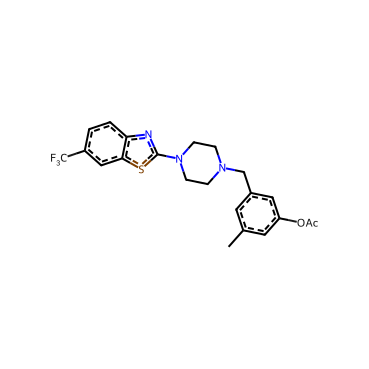 CC(=O)Oc1cc(C)cc(CN2CCN(c3nc4ccc(C(F)(F)F)cc4s3)CC2)c1